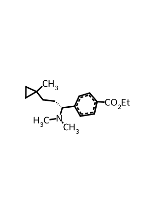 CCOC(=O)c1ccc([C@@H](CCC2(C)CC2)N(C)C)cc1